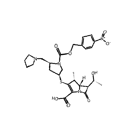 C[C@@H](O)[C@H]1C(=O)N2C(C(=O)O)=C(S[C@H]3C[C@@H](CN4CCCC4)N(C(=O)OCc4ccc([N+](=O)[O-])cc4)C3)[C@H](C)[C@H]12